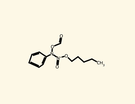 CCCCCO[N+](=O)N(OC=O)c1ccccc1